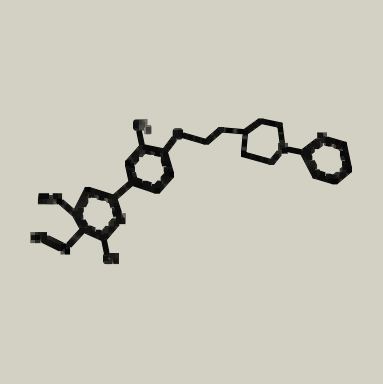 CNc1cc(-c2ccc(OCCC3CCN(c4ccccn4)CC3)c(C(F)(F)F)c2)nc(C#N)c1N=N